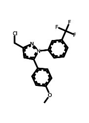 COc1ccc(-c2cc(CCl)nn2-c2cccc(C(F)(F)F)c2)cc1